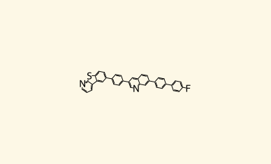 Fc1ccc(-c2ccc(-c3ccc4cc(-c5ccc(-c6ccc7sc8ncccc8c7c6)cc5)cnc4c3)cc2)cc1